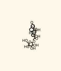 C[C@]12C=CC(=O)C=C1CC[C@@H]1[C@@H]2C(O)C[C@@]2(C)[C@H]1CC[C@]2(O)C(=O)COC1O[C@H](CO)[C@H](O)[C@H](O)[C@H]1O